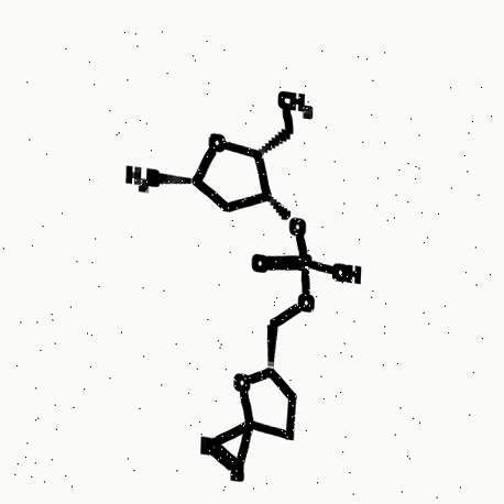 B[C@H]1C[C@@H](OP(=O)(O)OC[C@@H]2CCC3(B=B3)O2)[C@@H](CC)O1